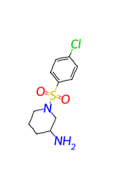 NC1CCCN(S(=O)(=O)c2ccc(Cl)cc2)C1